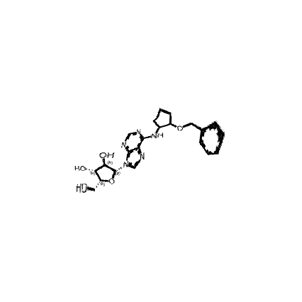 OC[C@H]1O[C@@H](n2cnc3c(NC4CCCC4OCc4ccccc4)ncnc32)[C@H](O)[C@H]1O